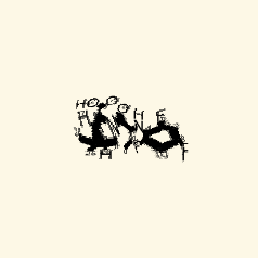 CC[C@@H](Nc1c(F)cc(F)cc1F)C(=O)N1C[C@H]2[C@@H]([C@H]1C(=O)O)C2(C)C